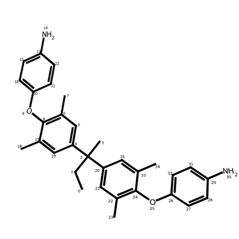 CCC(C)(c1cc(C)c(Oc2ccc(N)cc2)c(C)c1)c1cc(C)c(Oc2ccc(N)cc2)c(C)c1